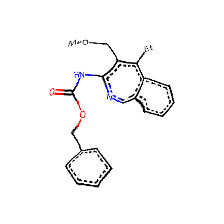 CCc1c(COC)c(NC(=O)OCc2ccccc2)nc2ccccc12